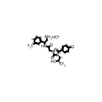 Cl.NCC(NC(=O)Cn1nc(-c2ccc(Cl)cc2)n(C[C@H](O)C(F)(F)F)c1=O)c1cccc(C(F)(F)F)c1